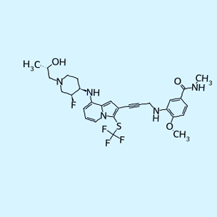 CNC(=O)c1ccc(OC)c(NCC#Cc2cc3c(N[C@@H]4CCN(C[C@H](C)O)C[C@@H]4F)cccn3c2SC(F)(F)F)c1